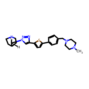 CN1CCN(Cc2ccc(-c3ccc(-c4cn([C@H]5CN6CCC5CC6)nn4)s3)cc2)CC1